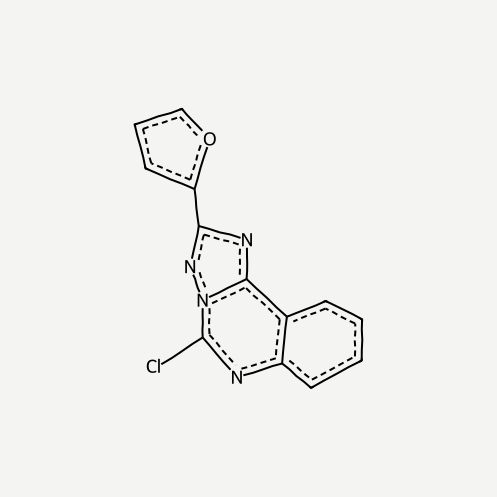 Clc1nc2ccccc2c2nc(-c3ccco3)nn12